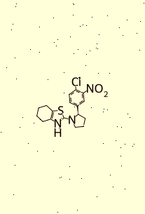 O=[N+]([O-])c1cc([C@H]2CCCN2C2NC3=C(CCCC3)S2)ccc1Cl